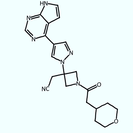 N#CCC1(n2cc(-c3ncnc4[nH]ccc34)cn2)CN(C(=O)CC2CCOCC2)C1